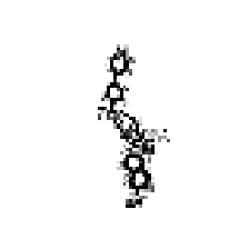 O=C(c1ccc(-c2ccncc2)cc1)N1CCN(C(O)S(=O)(=O)c2ccc3cc(Br)ccc3c2)CC1